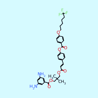 CC(C)(COC(=O)C=Cc1ccc(OC(=O)c2ccc(OCCCCCC(F)(F)F)cc2)cc1)COC(=O)c1cc(N)cc(N)c1